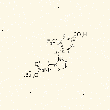 CC(C)(C)OC(=O)NC[C@@H]1CCCN1Cc1ccc(C(=O)O)cc1C(F)(F)F